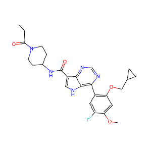 CCC(=O)N1CCC(NC(=O)c2c[nH]c3c(-c4cc(F)c(OC)cc4OCC4CC4)ncnc23)CC1